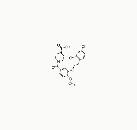 COc1ccc(C(=O)N2CCN(C(=O)O)CC2)cc1OCCc1ccc(Cl)cc1Cl